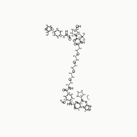 CC[C@@H]1c2nncn2-c2cnc(Nc3ccc(C(=O)NCCOCCOCCOCCOCCC(=O)N[C@H](C(=O)N4C[C@H](O)C[C@H]4C(=O)NCc4ccc(-c5scnc5C)cc4)C(C)(C)C)cc3OC)nc2N1C1CCCC1